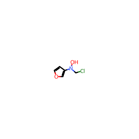 ON(CCl)c1ccoc1